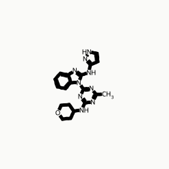 Cc1nc(NC2CCOCC2)nc(-n2c(Nc3cc[nH]n3)nc3ccccc32)n1